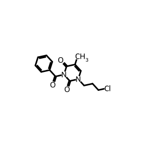 Cc1cn(CCCCl)c(=O)n(C(=O)c2ccccc2)c1=O